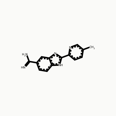 Cc1ccc(-c2nc3cc(C(=N)N)ccc3[nH]2)nc1